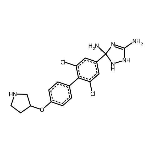 NC1=NC(N)(c2cc(Cl)c(-c3ccc(OC4CCNC4)cc3)c(Cl)c2)NN1